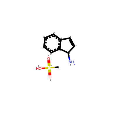 CS(=O)(=O)O.NC1C=Cc2ccccc21